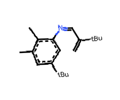 C=C(/C=N\c1cc(C(C)(C)C)cc(C)c1C)C(C)(C)C